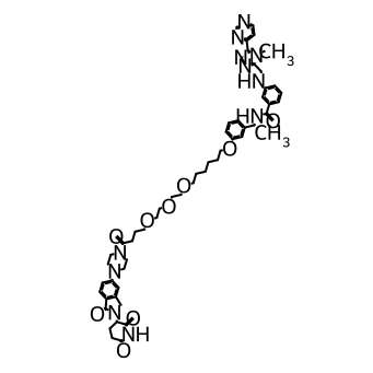 CC(NC(=O)c1cccc(NCc2nnc(-c3ccncn3)n2C)c1)c1cccc(OCCCCCCOCCOCCOCCCC(=O)N2CCN(c3ccc4c(c3)CN(C3CCC(=O)NC3=O)C4=O)CC2)c1